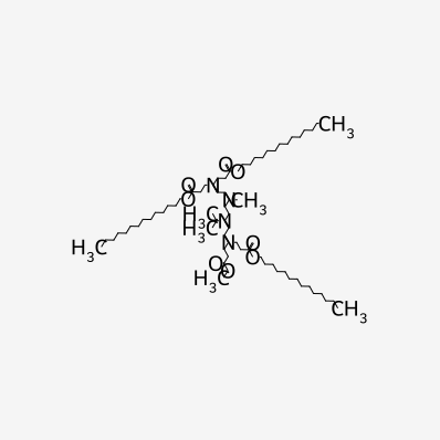 CCCCCCCCCCCCCCOC(=O)CCN(CCC(=O)OCCCCCCCCCCCCCC)CCN(C)CCN(CCN(CCC(=O)OC)CCC(=O)OCCCCCCCCCCCCCC)C(C)C